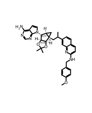 COc1ccc(CNc2ccc3ccc(C(C)C[C@]45C[C@@H]4[C@@H](n4ccc6c(N)ncnc64)[C@@H]4OC(C)(C)O[C@@H]45)cc3n2)cc1